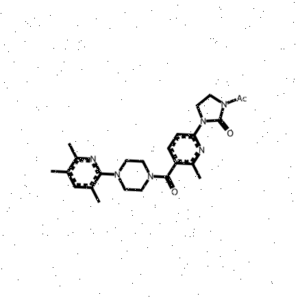 CC(=O)N1CCN(c2ccc(C(=O)N3CCN(c4nc(C)c(C)cc4C)CC3)c(C)n2)C1=O